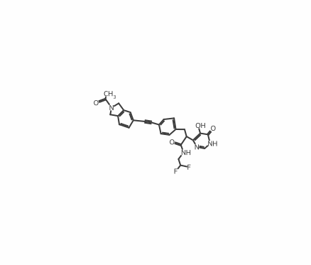 CC(=O)N1Cc2ccc(C#Cc3ccc(CC(C(=O)NCC(F)F)c4nc[nH]c(=O)c4O)cc3)cc2C1